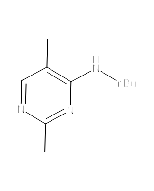 CCCCNc1nc(C)ncc1C